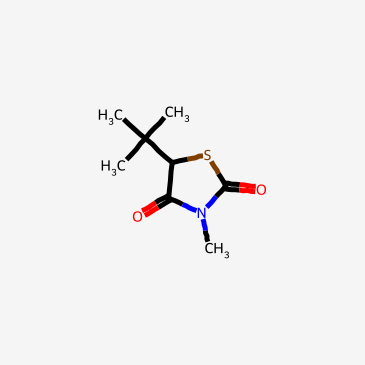 CN1C(=O)SC(C(C)(C)C)C1=O